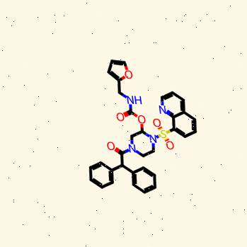 O=C(NCc1ccco1)OC1CN(C(=O)C(c2ccccc2)c2ccccc2)CCN1S(=O)(=O)c1cccc2cccnc12